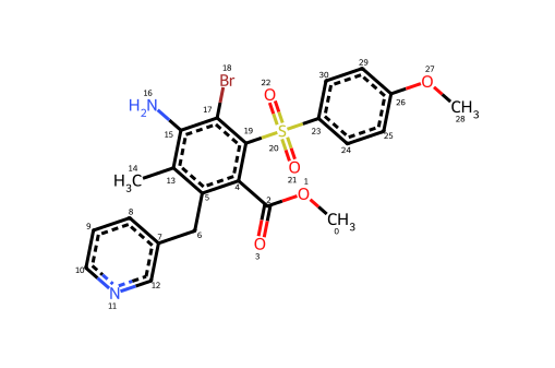 COC(=O)c1c(Cc2cccnc2)c(C)c(N)c(Br)c1S(=O)(=O)c1ccc(OC)cc1